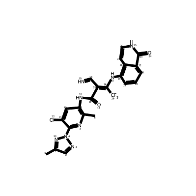 Cc1cnn(-c2nc(C)c(NC(=O)/C(C=N)=C(/Nc3cccc4c(=O)[nH]ccc34)C(F)(F)F)cc2Cl)n1